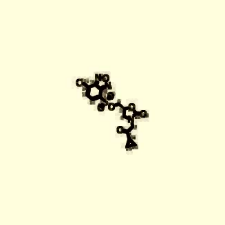 O=C(CN1C[C@@H](COS(=O)(=O)c2ccc(Cl)c3nonc23)OC1=O)C1CC1